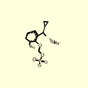 CCC(C)c1cccc(C(C)C2CC2)c1OCOP(=O)([O-])[O-].[Na+].[Na+]